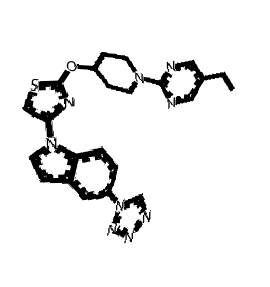 CCc1cnc(N2CCC(Oc3nc(-n4ccc5cc(-n6cnnn6)ccc54)cs3)CC2)nc1